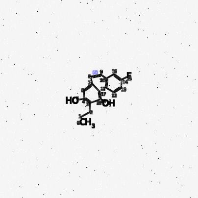 CCCc1c(O)cc(/C=C\c2cccc(F)c2)cc1O